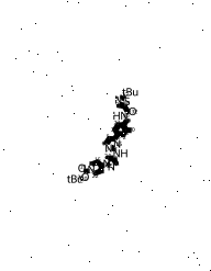 Cc1cc(-c2ccnc(Nc3cnn(C4CCN(C(=O)OC(C)(C)C)CC4)c3)n2)ccc1CNC(=O)c1cnc(C(C)(C)C)s1